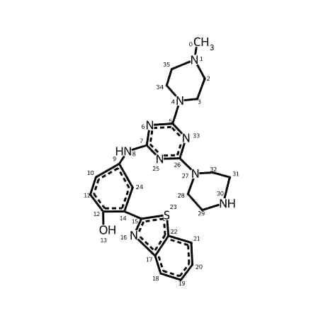 CN1CCN(c2nc(Nc3ccc(O)c(-c4nc5ccccc5s4)c3)nc(N3CCNCC3)n2)CC1